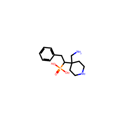 NCC1(C(Cc2ccccc2)P(=O)(O)O)CCNCC1